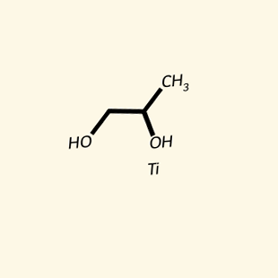 CC(O)CO.[Ti]